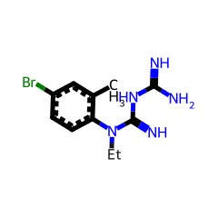 CCN(C(=N)NC(=N)N)c1ccc(Br)cc1C